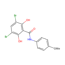 COc1ccc(NC(=O)c2c(O)c(Br)cc(Br)c2O)cc1